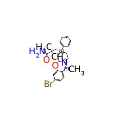 C[C@@H](c1ccc(Br)cc1)N1CC[C@](CC(C)(C)C(N)=O)(c2ccccc2)CC1=O